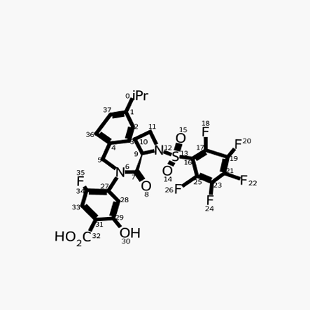 CC(C)c1ccc(CN(C(=O)[C@H]2CCN2S(=O)(=O)c2c(F)c(F)c(F)c(F)c2F)c2cc(O)c(C(=O)O)cc2F)cc1